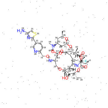 CCC(=O)/N=C1\[C@H](C)C[C@@]2(C)OCC(=NOCc3ccc(-c4nc(N)cs4)cn3)CO[C@H]([C@H]1C)[C@](C)(O)[C@@H](CC)OC(=O)[C@@](C)(F)C(=O)[C@H](C)[C@H]2O[C@@H]1O[C@H](C)C[C@H](N(C)C)[C@H]1OC(C)=O